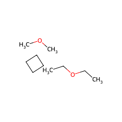 C1CCC1.CCOCC.COC